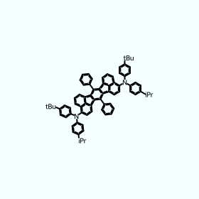 CC(C)c1ccc(N(c2ccc(C(C)(C)C)cc2)c2ccc3c4c(-c5ccccc5)c5c6ccc(N(c7ccc(C(C)C)cc7)c7ccc(C(C)(C)C)cc7)c7cccc(c5c(-c5ccccc5)c4c4cccc2c43)c76)cc1